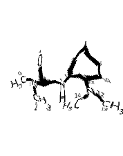 CN(C)C(=O)Nc1ccccc1N(C)C